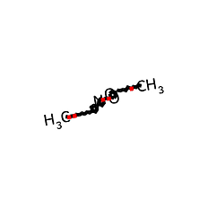 CCCCCCCCCCc1ccc(-c2ccc(CC[C@H]3OC[C@H](CCCCCCCCCC)CO3)cn2)cc1